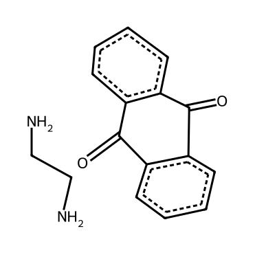 NCCN.O=C1c2ccccc2C(=O)c2ccccc21